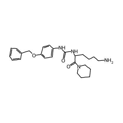 NCCCCC(NC(=O)Nc1ccc(OCc2ccccc2)cc1)C(=O)N1CCCCC1